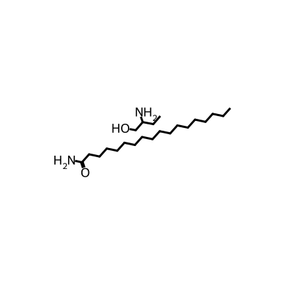 CCC(N)CO.CCCCCCCCCCCCCCCCCC(N)=O